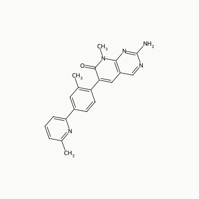 Cc1cccc(-c2ccc(-c3cc4cnc(N)nc4n(C)c3=O)c(C)c2)n1